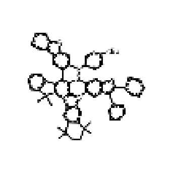 CC(C)(C)c1ccc(N2B3c4cc5sc(-c6ccccc6)c(-c6ccccc6)c5cc4-n4c5cc6c(cc5c5c7c(c(c3c54)-c3cc4c(cc32)sc2ccccc24)-c2ccccc2C7(C)C)C(C)(C)CCC6(C)C)cc1